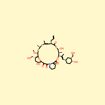 C=CC[C@@H]1/C=C(\C)C[C@H](C)C[C@H](OC)[C@H]2O[C@](O)(CC[C@@H]2CO)C(=O)C(=O)N2CCCC[C@H]2C(=O)O[C@H](/C(C)=C/[C@@H]2CC[C@@H](O)[C@H](CO)C2)[C@H](C)[C@@H](O)CC1=O